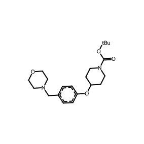 CC(C)(C)OC(=O)N1CCC(Oc2ccc(CN3CCOCC3)cc2)CC1